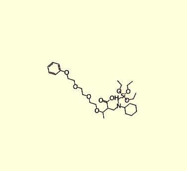 CCO[Si](CN(CC(C(=O)O)C(C)OCCOCCOCCOc1ccccc1)C1CCCCC1)(OCC)OCC